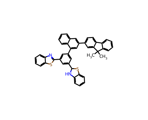 CC1(C)c2ccccc2-c2ccc(-c3cc(-c4cc(-c5nc6ccccc6s5)cc(C5Nc6ccccc6S5)c4)c4ccccc4c3)cc21